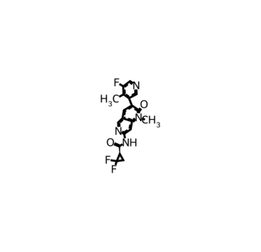 Cc1c(F)cncc1-c1cc2cnc(NC(=O)[C@H]3CC3(F)F)cc2n(C)c1=O